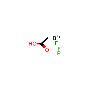 CC(=O)O.[B+3].[F-].[F-].[F-]